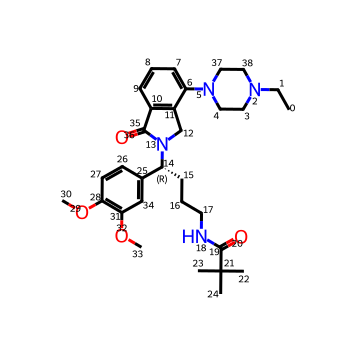 CCN1CCN(c2cccc3c2CN([C@H](CCCNC(=O)C(C)(C)C)c2ccc(OC)c(OC)c2)C3=O)CC1